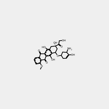 COc1cccc2c1C(=O)c1c(O)c3c(c(O)c1C2=O)C[C@@](O)(C(=O)CO)CC3OC1CC=C(O)C(N)C1